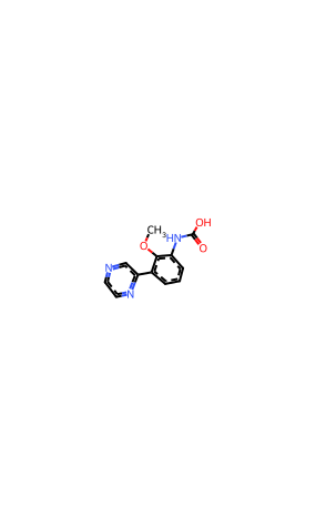 COc1c(NC(=O)O)cccc1-c1cnccn1